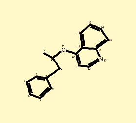 CC(Cc1ccccc1)Oc1ccnc2ccccc12